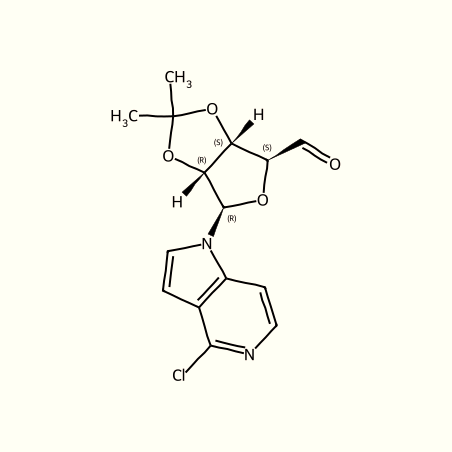 CC1(C)O[C@@H]2[C@H](O1)[C@@H](C=O)O[C@H]2n1ccc2c(Cl)nccc21